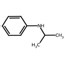 CC(C)Nc1cc[c]cc1